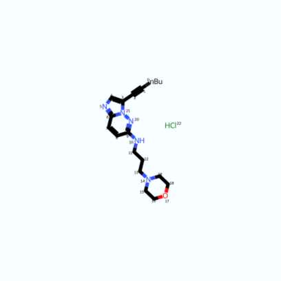 CCCCC#Cc1cnc2ccc(NCCCN3CCOCC3)nn12.Cl